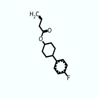 C=CCC(=O)OC1CCC(c2ccc(F)cc2)CC1